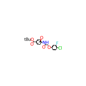 CC(C)(C)OC(=O)C12CCC(NC(=O)COc3ccc(Cl)c(F)c3)(CC1)C(=O)C2